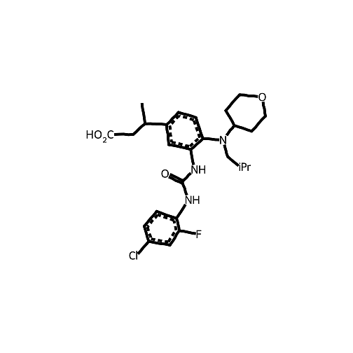 CC(C)CN(c1ccc(C(C)CC(=O)O)cc1NC(=O)Nc1ccc(Cl)cc1F)C1CCOCC1